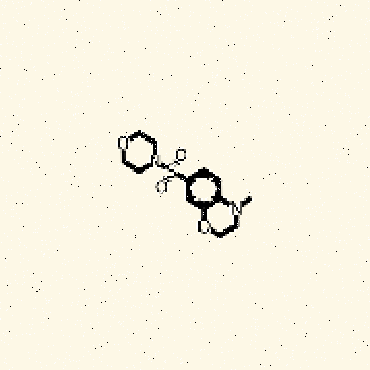 CN1CCOc2cc(S(=O)(=O)N3CCOCC3)ccc21